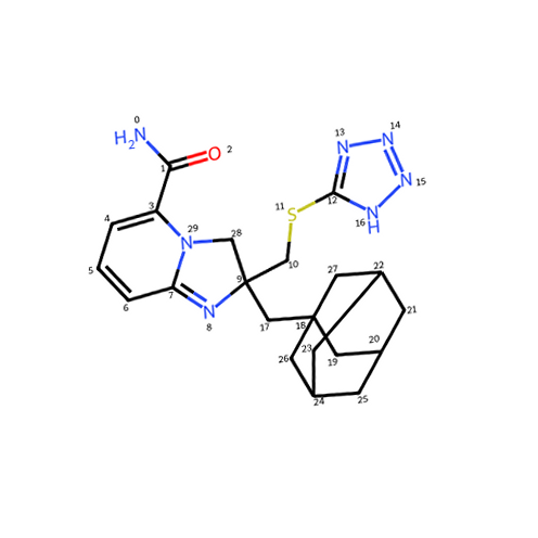 NC(=O)C1=CC=CC2=NC(CSc3nnn[nH]3)(CC34CC5CC(CC(C5)C3)C4)CN12